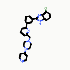 Clc1cccc2[nH]c(-c3cccc(-c4cccc(CN5CCN(c6ccncc6)CC5)n4)c3)nc12